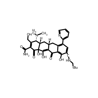 CN(C)[C@H]1C(CO)=C(C(N)=O)C(=O)C2(O)C(O)=C3C(=O)c4c(O)c(CNCC(C)(C)C)cc(-c5ccccn5)c4C[C@H]3C[C@@H]12